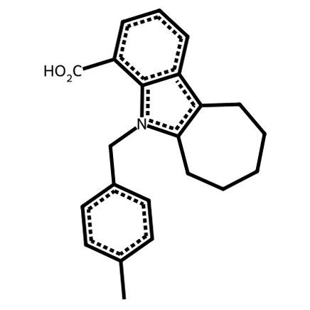 Cc1ccc(Cn2c3c(c4cccc(C(=O)O)c42)CCCCC3)cc1